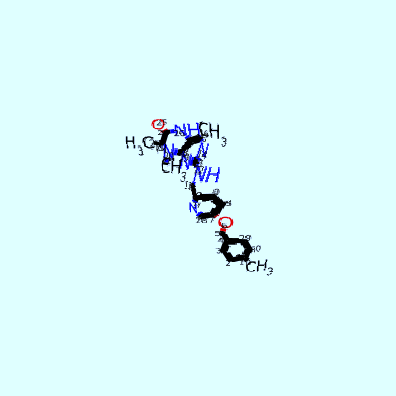 Cc1ccc(COc2ccc(CNc3nc(C)c4c(n3)N(C)[C@@H](C)C(=O)N4)nc2)cc1